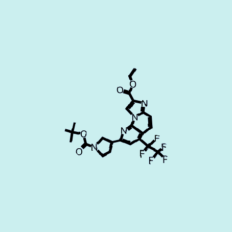 CCOC(=O)c1cn2c(ccc3c(C(F)(F)C(F)(F)F)cc(C4CCN(C(=O)OC(C)(C)C)C4)nc32)n1